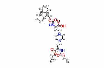 C=CCOC(=O)N[C@H](CCN1CCN(CC[C@@H](NC(=O)OCC2c3ccccc3-c3ccccc32)C(=O)O)CC1)C(=O)OCC=C